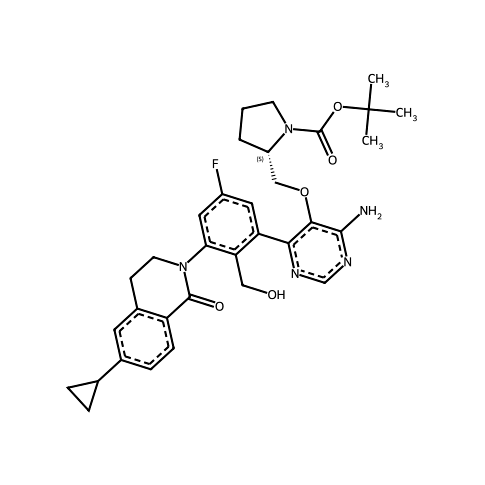 CC(C)(C)OC(=O)N1CCC[C@H]1COc1c(N)ncnc1-c1cc(F)cc(N2CCc3cc(C4CC4)ccc3C2=O)c1CO